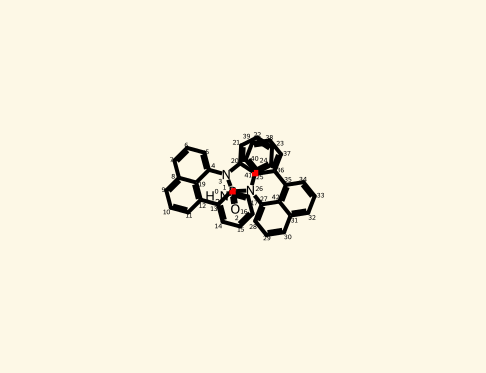 NP1(=O)N(c2cccc3cccc(-c4ccccc4)c23)c2ccccc2N1c1cccc2cccc(-c3ccccc3)c12